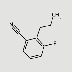 CCCc1c(F)cccc1C#N